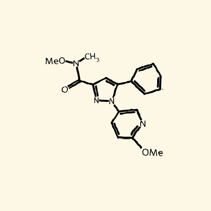 COc1ccc(-n2nc(C(=O)N(C)OC)cc2-c2c[c]ccc2)cn1